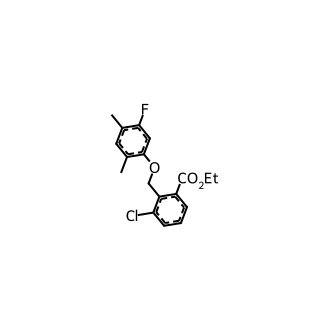 CCOC(=O)c1cccc(Cl)c1COc1cc(F)c(C)cc1C